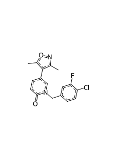 Cc1noc(C)c1-c1ccc(=O)n(Cc2ccc(Cl)c(F)c2)c1